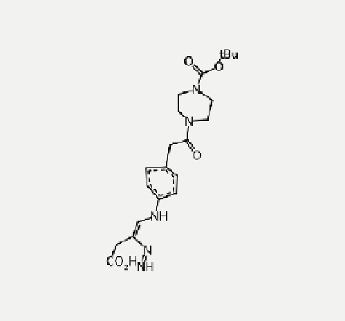 CC(C)(C)OC(=O)N1CCN(C(=O)Cc2ccc(N/C=C(/CC(=O)O)N=N)cc2)CC1